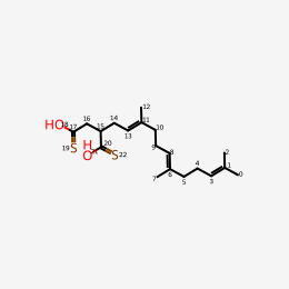 CC(C)=CCCC(C)=CCCC(C)=CCC(CC(O)=S)C(O)=S